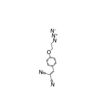 N#CC(C#N)=Cc1ccc(OCCN=[N+]=[N-])cc1